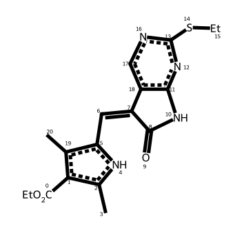 CCOC(=O)c1c(C)[nH]c(C=C2C(=O)Nc3nc(SCC)ncc32)c1C